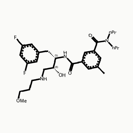 CCCN(CCC)C(=O)c1cc(C)cc(C(=O)N[C@@H](Cc2cc(F)cc(F)c2)[C@H](O)CNCCCOC)c1